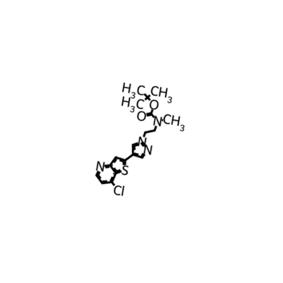 CN(CCn1cc(-c2cc3nccc(Cl)c3s2)cn1)C(=O)OC(C)(C)C